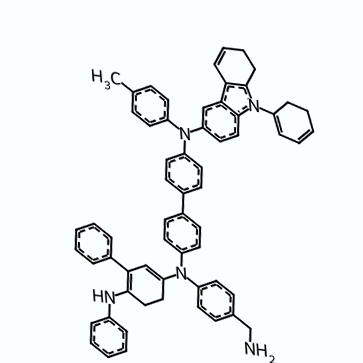 Cc1ccc(N(c2ccc(-c3ccc(N(C4=CC(c5ccccc5)=C(Nc5ccccc5)CC4)c4ccc(CN)cc4)cc3)cc2)c2ccc3c(c2)c2c(n3C3=CC=CCC3)CCC=C2)cc1